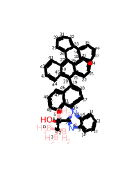 BC(B)(B)C(B)(O)c1nc2ccccc2n1-c1ccc(-c2c3ccccc3c(-c3ccccc3-c3ccccc3)c3ccccc23)c2ccccc12